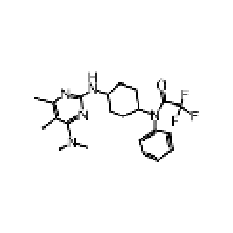 Cc1nc(NC2CCC(N(C(=O)C(F)(F)F)c3ccccc3)CC2)nc(N(C)C)c1C